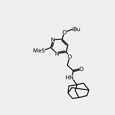 CCC(C)Oc1cc(OCC(=O)NC23CC4CC(CC(C4)C2)C3)nc(SC)n1